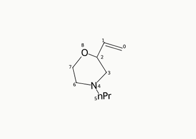 C=CC1CN(CCC)CCO1